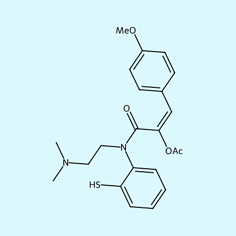 COc1ccc(C=C(OC(C)=O)C(=O)N(CCN(C)C)c2ccccc2S)cc1